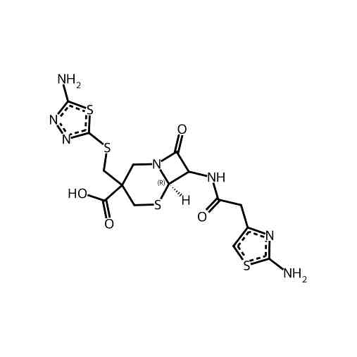 Nc1nc(CC(=O)NC2C(=O)N3CC(CSc4nnc(N)s4)(C(=O)O)CS[C@H]23)cs1